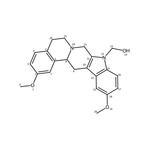 COc1ccc2c(c1)C1Cc3c(n(CO)c4ccc(OC)cc34)CN1CC2